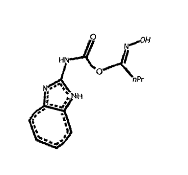 CCCC(=NO)OC(=O)Nc1nc2ccccc2[nH]1